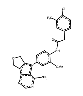 COc1cc(-n2c3c(c4ncnc(N)c42)COC3)ccc1NC(=O)Cc1ccc(Cl)c(C(F)(F)F)c1